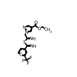 CCOC(=O)c1cnn(CC(=N)SC(=N)c2cccc(C(F)(F)F)c2)c1